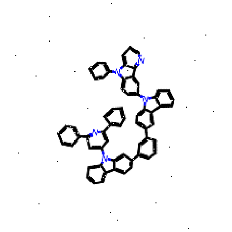 c1ccc(-c2cc(-n3c4ccccc4c4ccc(-c5cccc(-c6ccc7c(c6)c6ccccc6n7-c6ccc7c(c6)c6ncccc6n7-c6ccccc6)c5)cc43)cc(-c3ccccc3)n2)cc1